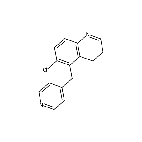 Clc1ccc2c(c1Cc1ccncc1)CCC=N2